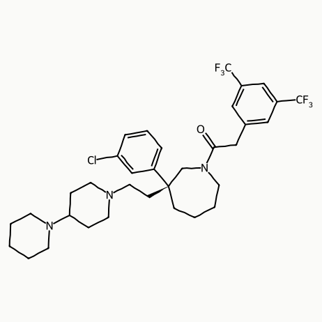 O=C(Cc1cc(C(F)(F)F)cc(C(F)(F)F)c1)N1CCCC[C@](CCN2CCC(N3CCCCC3)CC2)(c2cccc(Cl)c2)C1